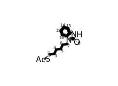 CC(=O)SCCCCCCn1c(=O)[nH]c2ccccc21